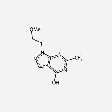 COCCn1ncc2c(O)nc(C(F)(F)F)nc21